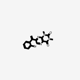 C=C(c1cnc2c(=O)n(C)c(=O)n(C)c2n1)c1ccccc1Br